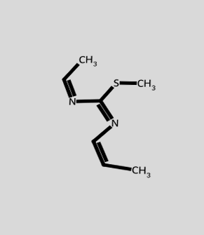 C\C=C/N=C(\N=C/C)SC